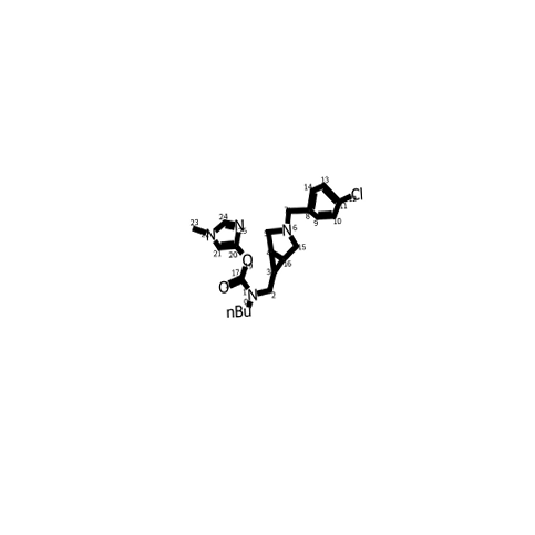 CCCCN(CC1C2CN(Cc3ccc(Cl)cc3)CC21)C(=O)Oc1cn(C)cn1